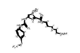 CCCCn1cc(NC(=O)Nc2ccc(OC(F)(F)F)cc2)nc1C(=O)NCCCOCCOC